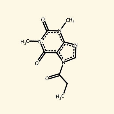 CCC(=O)n1cnc2c1c(=O)n(C)c(=O)n2C